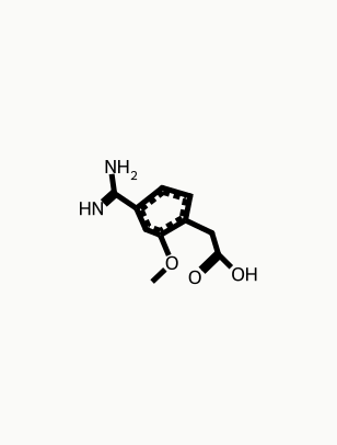 COc1cc(C(=N)N)ccc1CC(=O)O